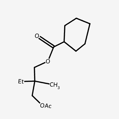 CCC(C)(COC(C)=O)COC(=O)C1CCCCC1